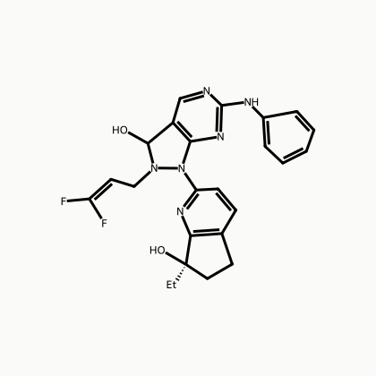 CC[C@@]1(O)CCc2ccc(N3c4nc(Nc5ccccc5)ncc4C(O)N3CC=C(F)F)nc21